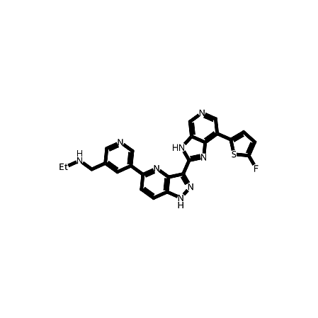 CCNCc1cncc(-c2ccc3[nH]nc(-c4nc5c(-c6ccc(F)s6)cncc5[nH]4)c3n2)c1